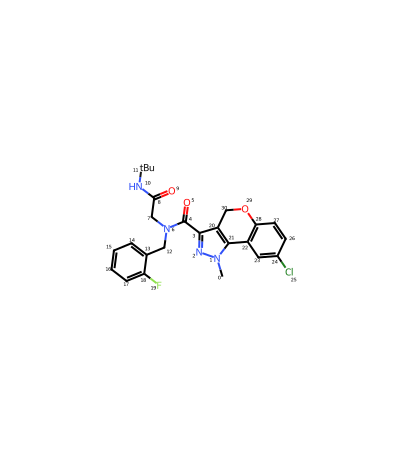 Cn1nc(C(=O)N(CC(=O)NC(C)(C)C)Cc2ccccc2F)c2c1-c1cc(Cl)ccc1OC2